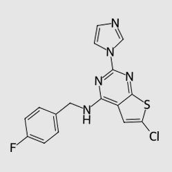 Fc1ccc(CNc2nc(-n3ccnc3)nc3sc(Cl)cc23)cc1